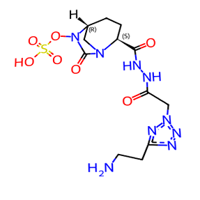 NCCc1nnn(CC(=O)NNC(=O)[C@@H]2CC[C@@H]3CN2C(=O)N3OS(=O)(=O)O)n1